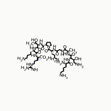 C[C@H](NC(=O)[C@@H](NC(=O)[C@@H](N)CCCCN)C(O)CN)C(=O)NCC(=O)N[C@H](CCCN)C(=O)N1CCC[C@H]1C(=O)N[C@H](C(=O)N[C@@H](CCCCN)C(=O)N/C(=C\CCNC(=N)N)C(=O)O)[C@@H](C)O